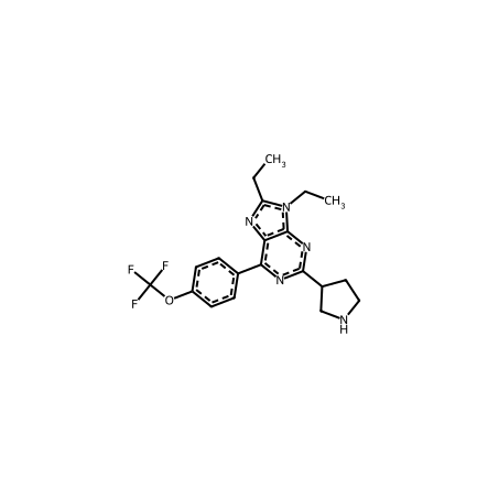 CCc1nc2c(-c3ccc(OC(F)(F)F)cc3)nc(C3CCNC3)nc2n1CC